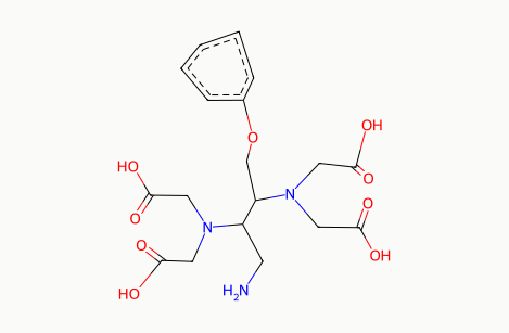 NCC(C(COc1ccccc1)N(CC(=O)O)CC(=O)O)N(CC(=O)O)CC(=O)O